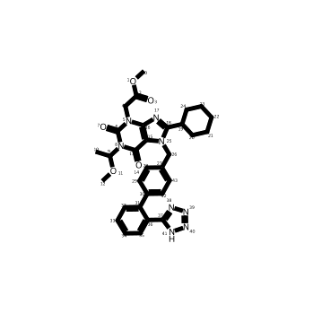 COC(=O)Cn1c(=O)n(C(C)OC)c(=O)c2c1nc(C1CCCCC1)n2Cc1ccc(-c2ccccc2-c2nnn[nH]2)cc1